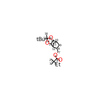 CCC(C)(C)C(=O)OCC1CC2CC1C1OC(C)(C(C)(C)C)OC21